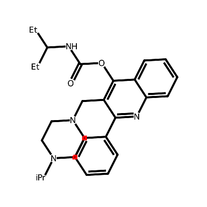 CCC(CC)NC(=O)Oc1c(CN2CCN(C(C)C)CC2)c(-c2ccccc2)nc2ccccc12